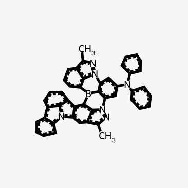 Cc1nn2c3c(cccc13)B1c3c-2cc(N(c2ccccc2)c2ccccc2)cc3-n2nc(C)c3cc4c(c1c32)c1cccc2c3ccccc3n4c21